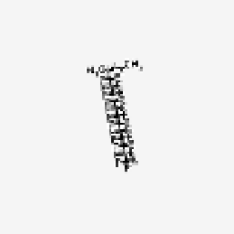 CCC=C(C)C(F)(F)C(F)(F)C(F)(F)C(F)(F)C(F)(F)C(F)(F)C(F)(F)C(F)(F)C(F)(F)C(F)(F)C(F)(F)C(F)(F)F